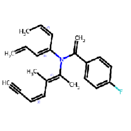 C#C/C=C\C(C)=C(/C)N(C(=C)c1ccc(F)cc1)C(/C=C\C)=C/C=C